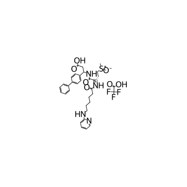 C[S+]([O-])CC[C@H](NC(=O)CCCCCNc1ccccn1)C(=O)NC(CC(=O)O)c1ccc(-c2ccccc2)cc1.O=C(O)C(F)(F)F